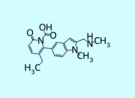 CCc1ccc(=O)n(C(=O)O)c1-c1ccc2c(c1)cc(CNC)n2C